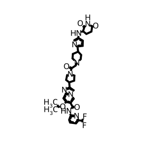 CC(C)Oc1cc2nc(C3CCN(C(=O)CN4CCC(c5ccc(NC6CCC(=O)NC6=O)cn5)CC4)CC3)cn2cc1C(=O)Nc1cccc(C(F)F)n1